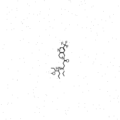 CCCC(N[C@@H](CCC)CCC(=O)N1CCc2ncc(C(F)(F)F)cc2C1)C(CC)OC